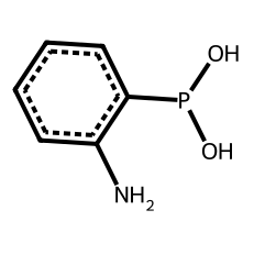 Nc1ccccc1P(O)O